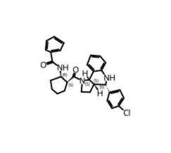 O=C(N[C@@H]1CCCC[C@@H]1C(=O)N1CC[C@H]2[C@@H](c3ccc(Cl)cc3)Nc3ccccc3[C@H]21)c1ccccc1